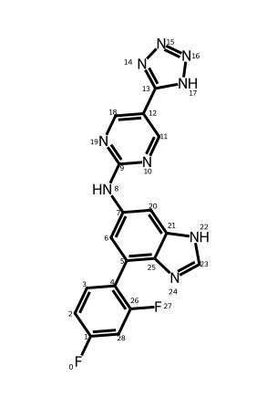 Fc1ccc(-c2cc(Nc3ncc(-c4nnn[nH]4)cn3)cc3[nH]cnc23)c(F)c1